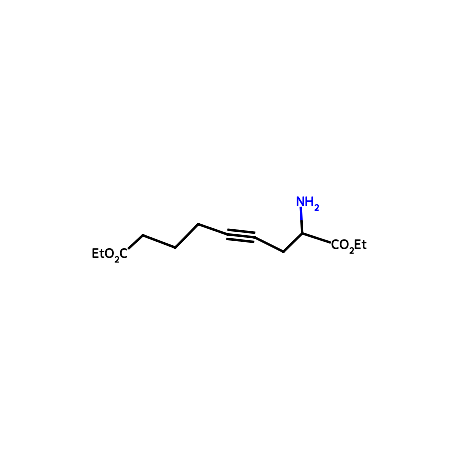 CCOC(=O)CCCC#CCC(N)C(=O)OCC